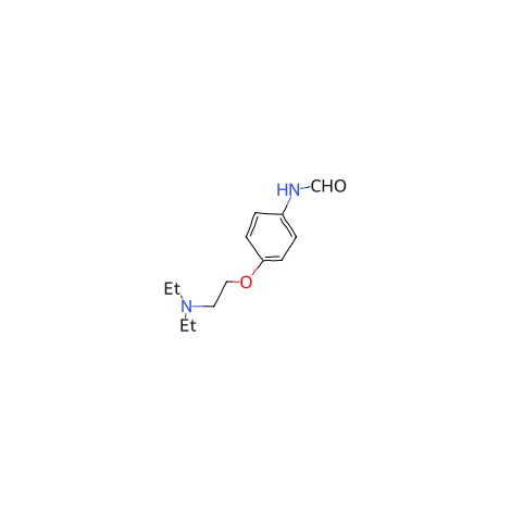 CCN(CC)CCOc1ccc(NC=O)cc1